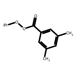 C[C](C)OOC(=O)c1cc(C)cc(C)c1